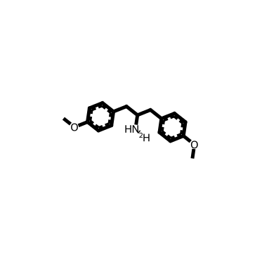 [2H]NC(Cc1ccc(OC)cc1)Cc1ccc(OC)cc1